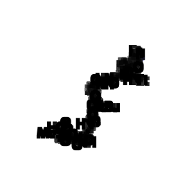 CC/N=c1/cc2oc3cc(NCC)c(C)cc3c(-c3ccccc3C(=O)N(C)CCCC(=O)NCCNC(=O)c3cccc(OCC(OCCOCC(=O)NCC#Cc4cn([C@H]5CC(O[C@@H](C)SSC)[C@@H](CO[PH](=O)O)O5)c(=O)[nH]c4=O)SSC(C)(C)C)c3)c-2cc1C